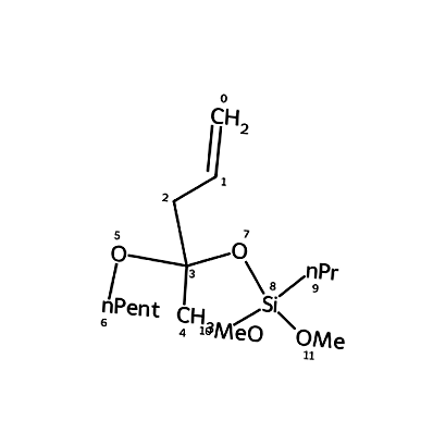 C=CCC(C)(OCCCCC)O[Si](CCC)(OC)OC